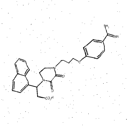 N=C(N)c1ccc(OCCCN2CCN(C(CC(=O)O)c3cccc4ccccc34)C(=O)C2=O)cc1